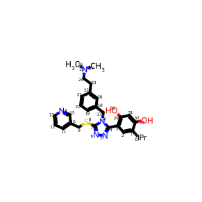 CC(C)c1cc(-c2nnc(SCc3cccnc3)n2Cc2cccc(CCN(C)C)c2)c(O)cc1O